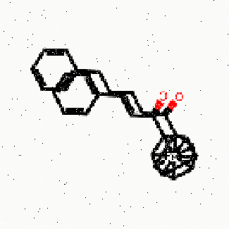 O=C(C=Cc1ccccc1)[C]12[CH]3[CH]4[CH]5[CH]1[Fe]45321678[CH]2[CH]1[CH]6[C]7(C(=O)CCCCc1ccccc1)[CH]28